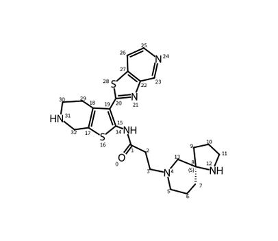 O=C(CCN1CCC[C@@]2(CCCN2)C1)Nc1sc2c(c1-c1nc3cnccc3s1)CCNC2